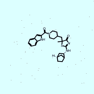 CC1(CC2CCN(C(=O)c3cc4ccccc4[nH]3)CC2)SC(N[C@H]2C[C@@H]3CCC2C3)=NC1=O